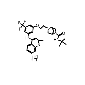 Cc1cc(Nc2cc(OCCN3CC4CC3CN4C(=O)NC(C)(C)C)cc(C(F)(F)F)c2)c2ccccc2n1.Cl.Cl